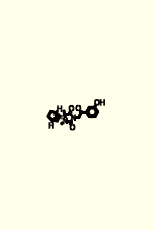 CN1C(=O)N(CC(=O)c2cccc(O)c2)C(=O)C1(C)[C@@H]1C[C@H]2CC[C@H]1C2